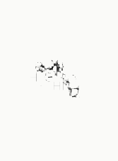 C=Cn1c(SCC(=O)Nc2ccccc2)nnc1-c1ccoc1